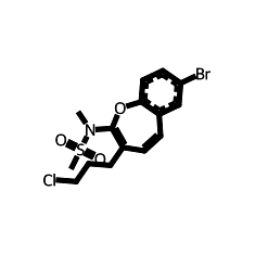 CN(C1=C(CCCCl)C=Cc2cc(Br)ccc2O1)S(C)(=O)=O